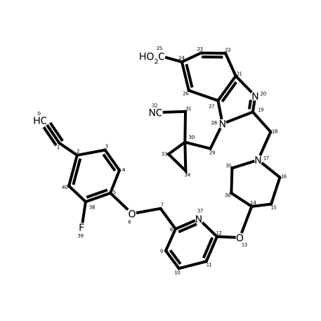 C#Cc1ccc(OCc2cccc(OC3CCN(Cc4nc5ccc(C(=O)O)cc5n4CC4(CC#N)CC4)CC3)n2)c(F)c1